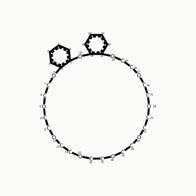 c1ccc2c(c1)OCCOCCOCCOCCOCCOCCOCCOCCOc1ccccc1O2